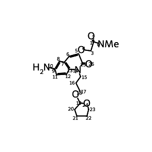 CNC(=O)COc1cc2cc(N)ccc2n(CCCOC2CCCCO2)c1=O